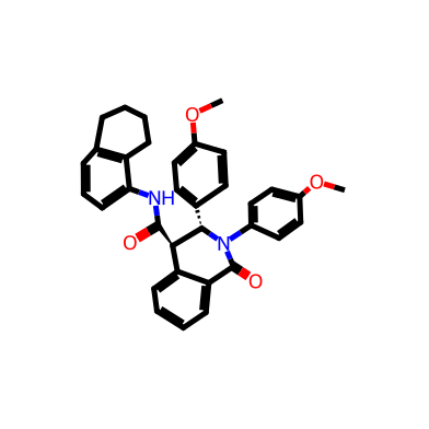 COc1ccc([C@H]2[C@H](C(=O)Nc3cccc4c3CCCC4)c3ccccc3C(=O)N2c2ccc(OC)cc2)cc1